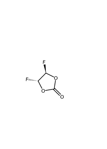 O=C1O[C@H](F)[C@@H](F)O1